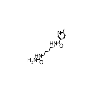 Cc1ccc(C(=O)NCCCCCNC(N)=O)cn1